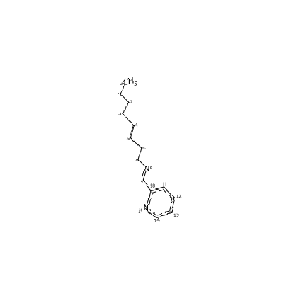 CCCCCCCCN=Cc1ccccn1